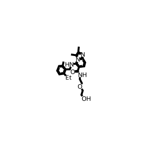 CCc1cccc(C)c1CNc1c(C(=O)NCCOCCO)ccc2nc(C)c(C)n12